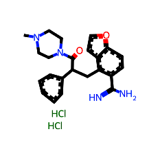 CN1CCN(C(=O)C(Cc2c(C(=N)N)ccc3occc23)c2ccccc2)CC1.Cl.Cl